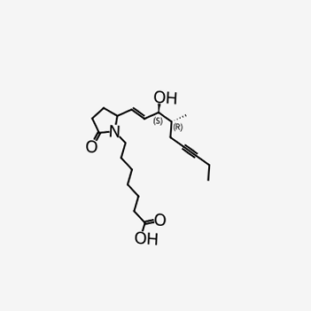 CCC#CC[C@@H](C)[C@H](O)C=CC1CCC(=O)N1CCCCCCC(=O)O